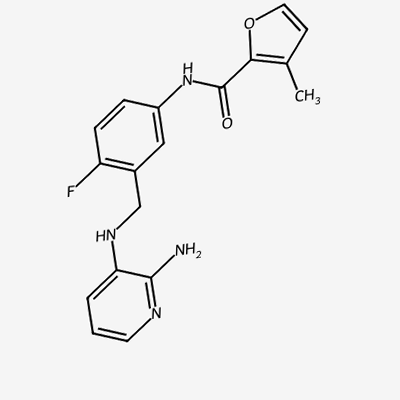 Cc1ccoc1C(=O)Nc1ccc(F)c(CNc2cccnc2N)c1